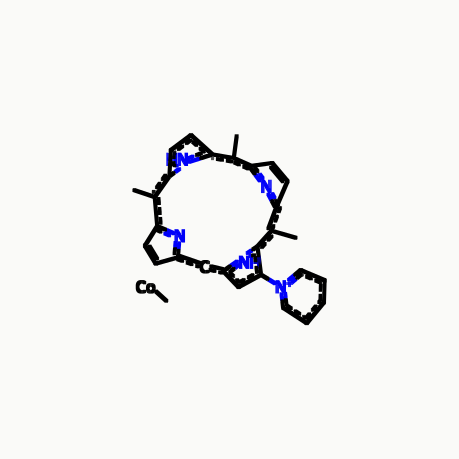 Cc1c2nc(cc3cc(-[n+]4ccccc4)c([nH]3)c(C)c3nc(c(C)c4ccc1[nH]4)C=C3)C=C2.[CH3][Co]